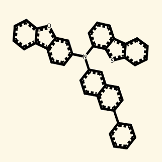 c1ccc(-c2ccc3cc(N(c4ccc5c(c4)oc4ccccc45)c4cccc5c4sc4ccccc45)ccc3c2)cc1